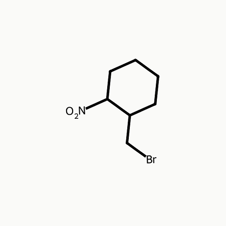 O=[N+]([O-])C1CCCCC1CBr